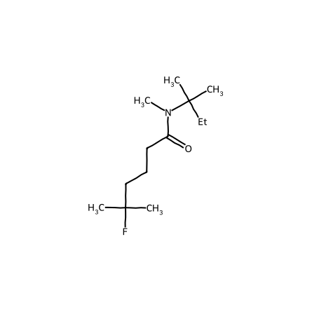 CCC(C)(C)N(C)C(=O)CCCC(C)(C)F